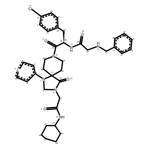 O=C(CN1CN(c2ccccc2)C2(CCN(C(=O)[C@@H](Cc3ccc(Cl)cc3)NC(=O)CNCc3ccccc3)CC2)C1=O)NC1CCCCC1